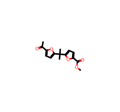 COC(=O)c1ccc(C(C)(C)c2ccc(C(C)=O)o2)o1